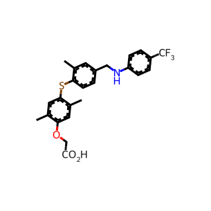 Cc1cc(Sc2ccc(CNc3ccc(C(F)(F)F)cc3)cc2C)c(C)cc1OCC(=O)O